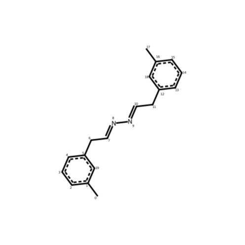 Cc1cccc(C/C=N/N=C/Cc2cccc(C)c2)c1